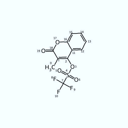 Cc1c(OS(=O)(=O)C(F)(F)F)c2ccccc2oc1=O